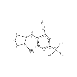 Cl.NC1CCCC1Nc1ncc(C(F)(F)F)cc1Cl